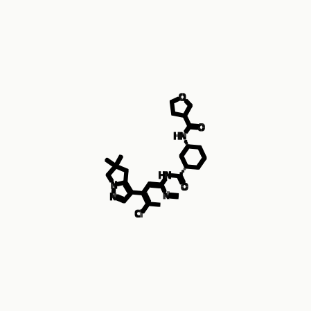 C=N/C(=C\C(=C(/C)Cl)c1cnn2c1CC(C)(C)C2)NC(=O)[C@H]1CCC[C@@H](NC(=O)C2CCOC2)C1